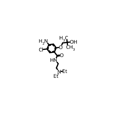 CCN(CC)CCNC(=O)c1cc(Cl)c(N)cc1OCC(C)(C)O